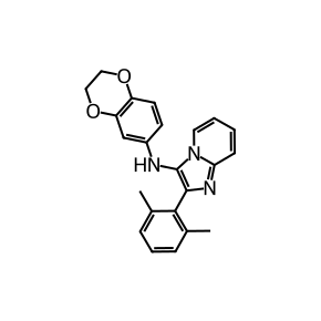 Cc1cccc(C)c1-c1nc2ccccn2c1Nc1ccc2c(c1)OCCO2